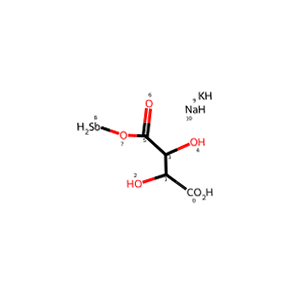 O=C(O)C(O)C(O)C(=O)[O][SbH2].[KH].[NaH]